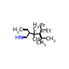 C=CC(C=N)C(C)(C)C(=C(C)C)[C@H](CC)C(C)C